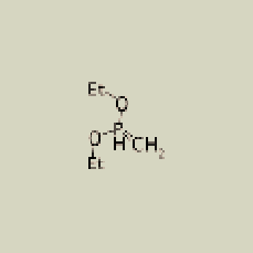 C=[PH](OCC)OCC